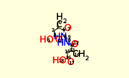 C=C(CC(=O)O)C(=O)NCNC(=O)C(=C)CC(=O)O